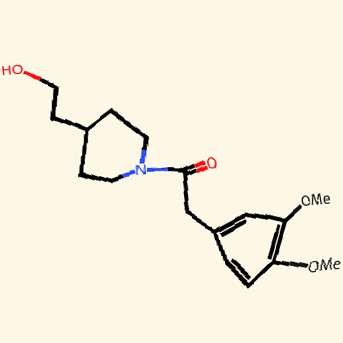 COc1ccc(CC(=O)N2CCC(CCO)CC2)cc1OC